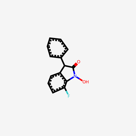 O=C1C(c2ccccc2)c2cccc(F)c2N1O